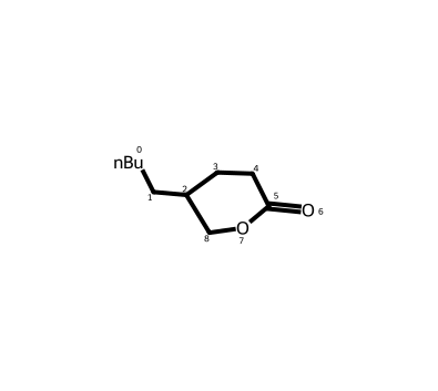 CCCCCC1CCC(=O)OC1